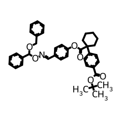 CC(C)(C)OC(=O)c1ccc(C2(C(=O)Oc3ccc(C=NOC(OCc4ccccc4)c4ccccc4)cc3)CCCCC2)cc1